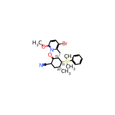 COc1ccc(Br)c(C[C@H]2C(=O)C(C#N)C[C@@H](C)[C@@H]2S(C)(C)c2ccccc2)n1